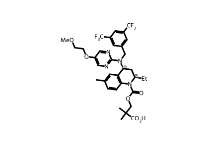 CC[C@@H]1C[C@H](N(Cc2cc(C(F)(F)F)cc(C(F)(F)F)c2)c2ncc(OCCOC)cn2)c2cc(C)ccc2N1C(=O)OCC(C)(C)C(=O)O